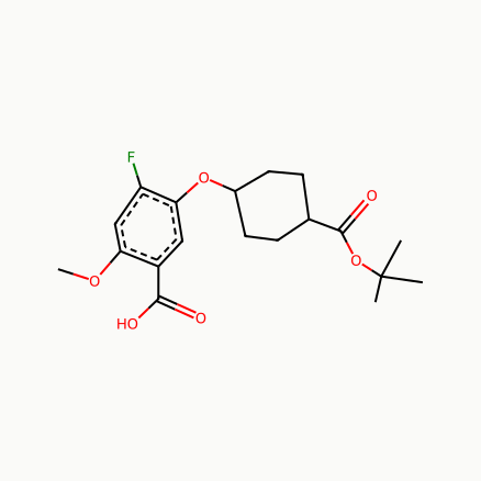 COc1cc(F)c(OC2CCC(C(=O)OC(C)(C)C)CC2)cc1C(=O)O